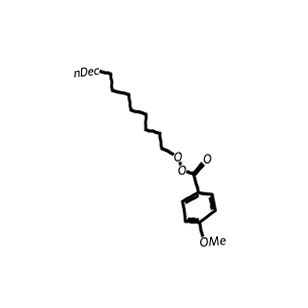 [CH2]CCCCCCCCCCCCCCCCCOOC(=O)c1ccc(OC)cc1